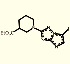 CCOC(=O)C1CCCN(c2nn3c(I)cnc3s2)C1